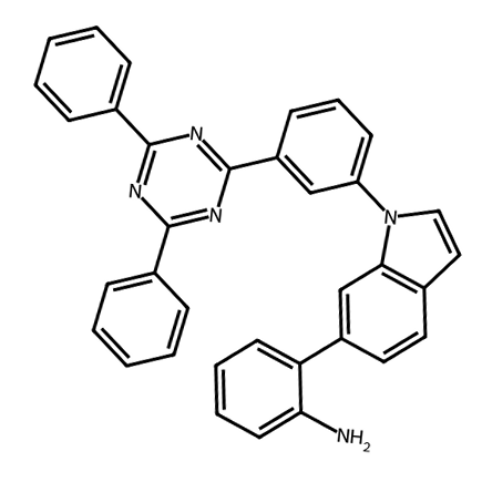 Nc1ccccc1-c1ccc2ccn(-c3cccc(-c4nc(-c5ccccc5)nc(-c5ccccc5)n4)c3)c2c1